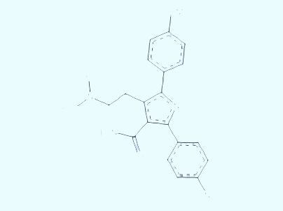 COc1ccc(-c2[nH]c(-c3ccc([N+](=O)[O-])cc3)c(C(N)=O)c2CCN(C)C)cc1